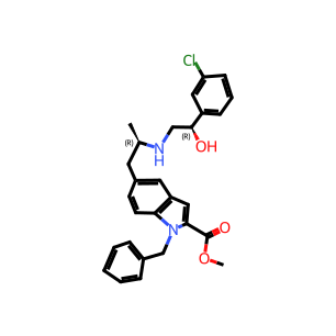 COC(=O)c1cc2cc(C[C@@H](C)NC[C@H](O)c3cccc(Cl)c3)ccc2n1Cc1ccccc1